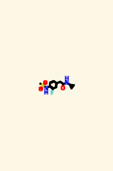 CS(=O)(=O)Nc1ccc(CC(=O)NC2CC2)cc1F